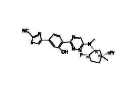 CCC[C@]1(C)CC[C@H](F)[C@H](N(C)c2cnc(-c3ccc(-c4csc(C#N)n4)cc3O)nn2)C1